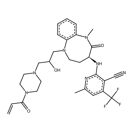 C=CC(=O)N1CCN(CC(O)CN2CC[C@H](Nc3nc(C)cc(C(F)(F)F)c3C#N)C(=O)N(C)c3ccccc32)CC1